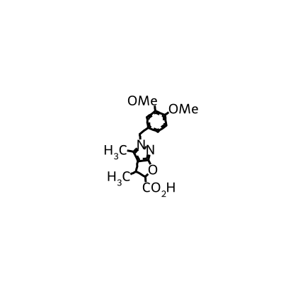 COc1ccc(Cn2nc3c(c2C)C(C)C(C(=O)O)O3)cc1OC